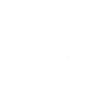 CCCCCCC(=O)[O-].CCCCCCC(=O)[O-].[Mg+2]